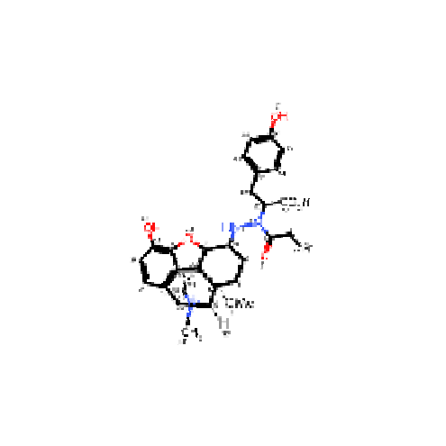 CO[C@@]12CCC(NN(C(=O)CC(C)C)[C@@H](Cc3ccc(O)cc3)C(=O)O)C3Oc4c(O)ccc5c4[C@@]31CCN(C)[C@@H]2C5